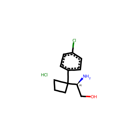 Cl.N[C@@H](CO)C1(c2ccc(Cl)cc2)CCC1